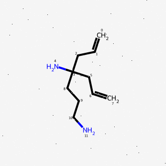 C=CCC(N)(CC=C)CCCN